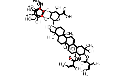 C/C=C(/C)C(=O)O[C@H]1[C@H](OC(=O)/C(C)=C\C)[C@@]2(CO)C(CC1(C)C)C1=CCC3[C@@]4(C)CC[C@H](O[C@@H]5OC(C(=O)O)[C@@H](O)C(O[C@@H]6O[C@@H](CO)C(O)[C@@H]6O)[C@@H]5O[C@@H]5OC(CO)[C@@H](O)C(O)[C@@H]5O)[C@](C)(CO)C4CC[C@@]3(C)[C@]1(C)C[C@H]2O